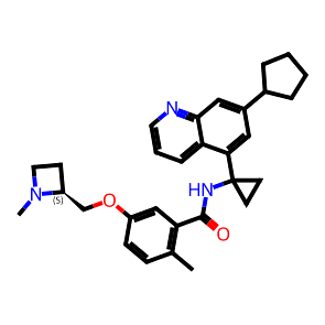 Cc1ccc(OC[C@@H]2CCN2C)cc1C(=O)NC1(c2cc(C3CCCC3)cc3ncccc23)CC1